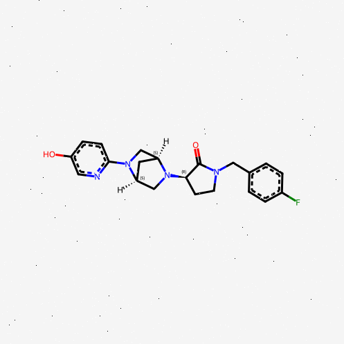 O=C1[C@H](N2C[C@@H]3C[C@H]2CN3c2ccc(O)cn2)CCN1Cc1ccc(F)cc1